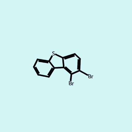 Brc1ccc2sc3ccccc3c2c1Br